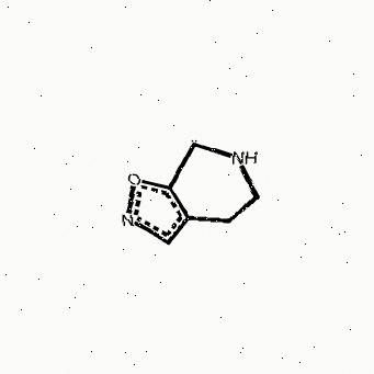 [C]1NCCc2cnoc21